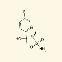 C[C@H](C(C)(O)c1ccc(F)cn1)S(N)(=O)=O